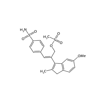 COc1ccc2c(c1)C(C(=Cc1ccc(S(N)(=O)=O)cc1)COS(C)(=O)=O)=C(C)C2